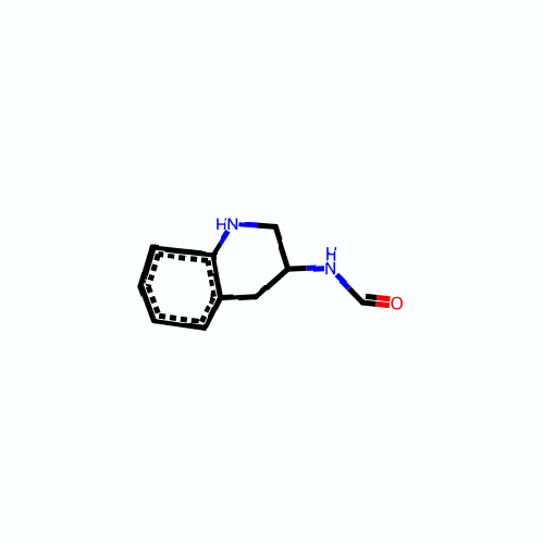 O=CNC1CNc2ccccc2C1